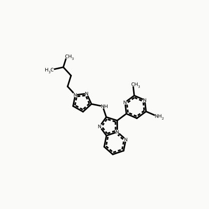 Cc1nc(N)cc(-c2c(Nc3ccn(CCC(C)C)n3)nc3cccnn23)n1